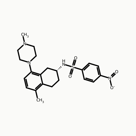 Cc1ccc(N2CCN(C)CC2)c2c1CC[C@@H](NS(=O)(=O)c1ccc([N+](=O)[O-])cc1)C2